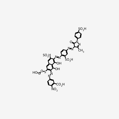 CC1=NN(c2ccc(S(=O)(=O)O)cc2)C(=O)C1/N=N/c1ccc(/N=N/c2c(S(=O)(=O)O)cc3cc(SOOO)c(/N=N/c4ccc([N+](=O)[O-])c(C(=O)O)c4)c(O)c3c2O)c(S(=O)(=O)O)c1